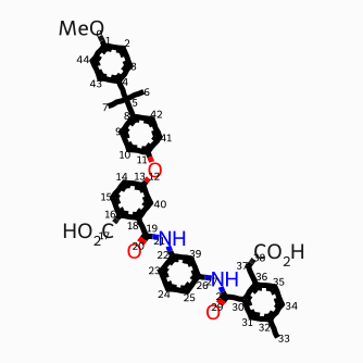 COc1ccc(C(C)(C)c2ccc(Oc3ccc(C(=O)O)c(C(=O)Nc4cccc(NC(=O)c5cc(C)ccc5CC(=O)O)c4)c3)cc2)cc1